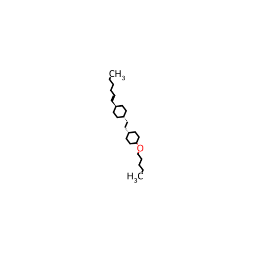 CCCC/C=C/[C@H]1CC[C@H](CC[C@H]2CC[C@H](OCCCCC)CC2)CC1